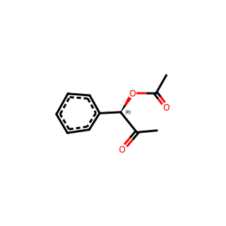 CC(=O)O[C@@H](C(C)=O)c1ccccc1